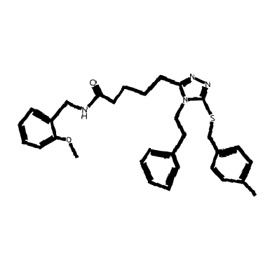 COc1ccccc1CNC(=O)CCCCc1nnc(SCc2ccc(C)cc2)n1CCc1ccccc1